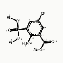 CCOP(=O)(OCC)c1cc(Cl)cc(C(=O)OC)c1N